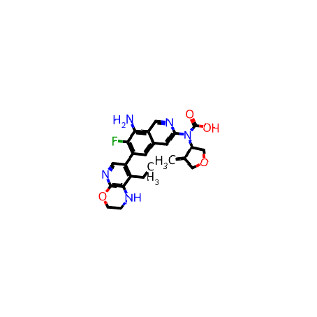 CCc1c(-c2cc3cc(N(C(=O)O)C4COCC4C)ncc3c(N)c2F)cnc2c1NCCO2